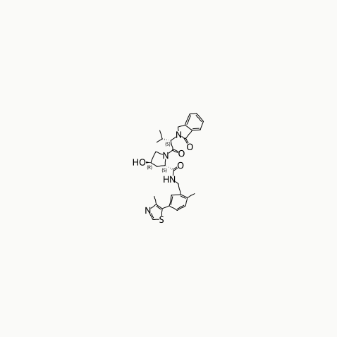 Cc1ccc(-c2scnc2C)cc1CNC(=O)[C@@H]1C[C@@H](O)CN1C(=O)[C@H](C(C)C)N1Cc2ccccc2C1=O